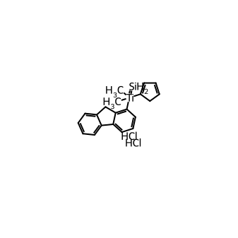 Cl.Cl.[CH3][Ti]([CH3])(=[SiH2])([C]1=CC=CC1)[c]1cccc2c1Cc1ccccc1-2